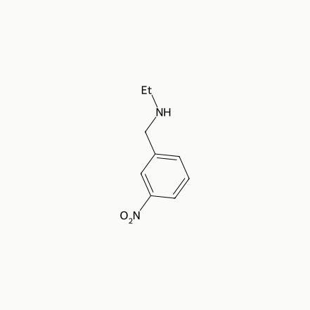 CCNCc1cccc([N+](=O)[O-])c1